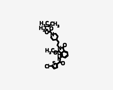 COC1c2c(NC(=O)c3ccc(Cl)s3)cccc2C(=O)N1CCC1CCN(C(=O)OC(C)(C)C)CC1